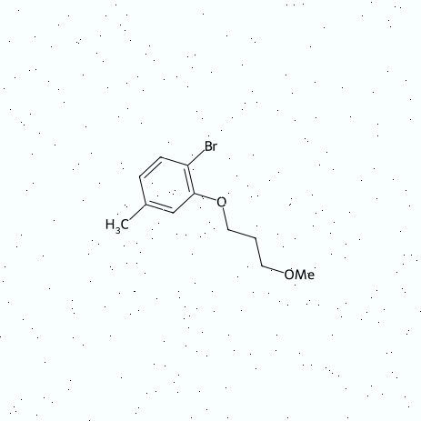 COCCCOc1cc(C)ccc1Br